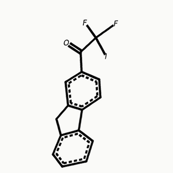 O=C(c1ccc2c(c1)Cc1ccccc1-2)C(F)(F)I